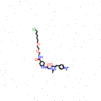 CC1=N/C(=C\c2ccc(N(C)C)cc2)C(=O)N1CC(=O)NC1CCC(C(=O)NCCOCCOCCCCCCCl)CC1